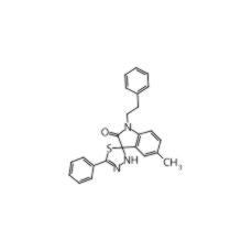 Cc1ccc2c(c1)C1(NN=C(c3ccccc3)S1)C(=O)N2CCc1ccccc1